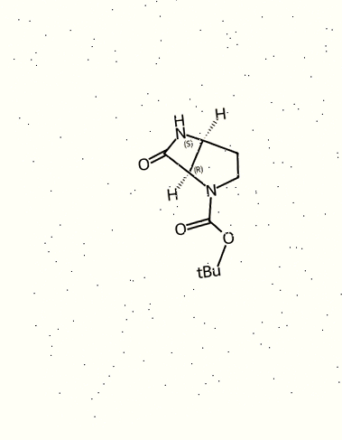 CC(C)(C)OC(=O)N1CC[C@@H]2NC(=O)[C@@H]21